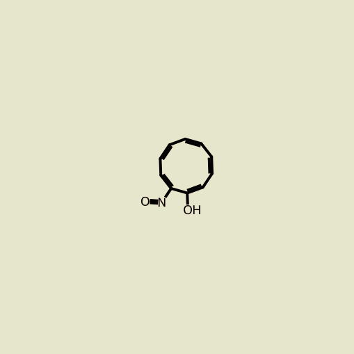 O=Nc1ccccccccc1O